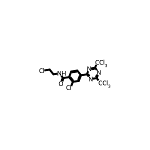 O=C(NCCCl)c1ccc(-c2nc(C(Cl)(Cl)Cl)nc(C(Cl)(Cl)Cl)n2)cc1Cl